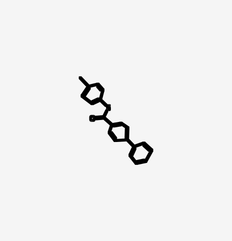 Cc1ccc(SC(=O)c2ccc(-c3ccccc3)cc2)cc1